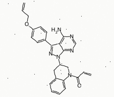 C=CCOc1ccc(-c2nn(C3Cc4ccccc4N(C(=O)C=C)C3)c3ncnc(N)c23)cc1